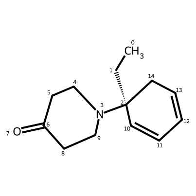 CC[C@@]1(N2CCC(=O)CC2)C=CC=CC1